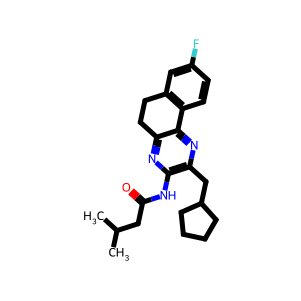 CC(C)CC(=O)Nc1nc2c(nc1CC1CCCC1)-c1ccc(F)cc1CC2